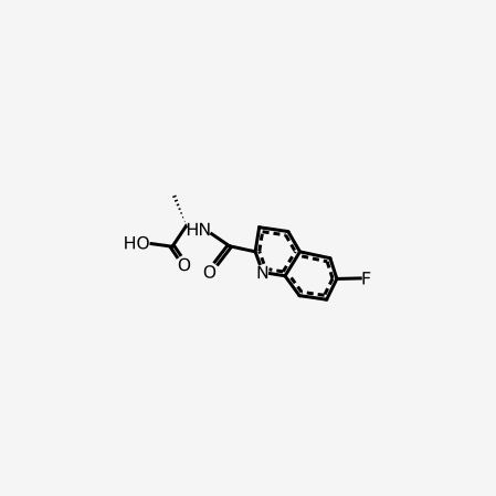 C[C@H](NC(=O)c1ccc2cc(F)ccc2n1)C(=O)O